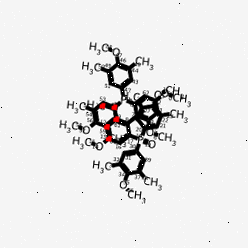 COc1cc(OC)c(-c2c(OC)cc(OC)cc2P(=O)(c2cc(C)c(OC)c(C)c2)c2cc(C)c(OC)c(C)c2)c(P(c2cc(C)c(OC)c(C)c2)c2cc(C)c(OC)c(C)c2)c1